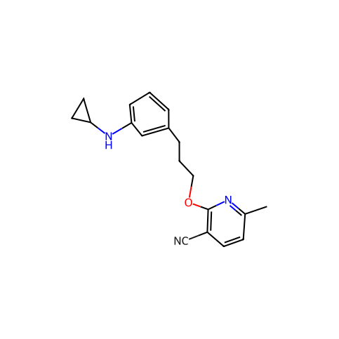 Cc1ccc(C#N)c(OCCCc2cccc(NC3CC3)c2)n1